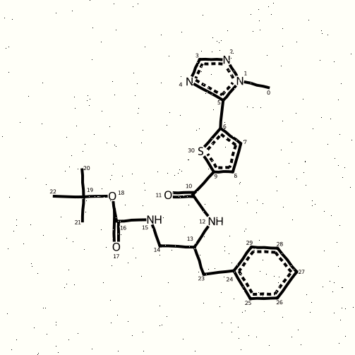 Cn1ncnc1-c1ccc(C(=O)NC(CNC(=O)OC(C)(C)C)Cc2ccccc2)s1